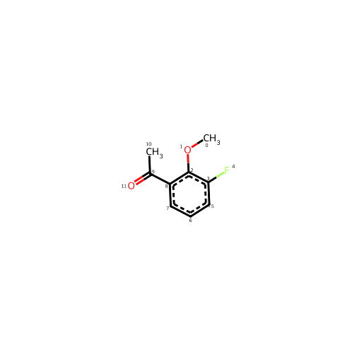 COc1c(F)[c]ccc1C(C)=O